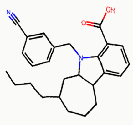 CCCCC1CCCC2c3cccc(C(=O)O)c3N(Cc3cccc(C#N)c3)C2C1